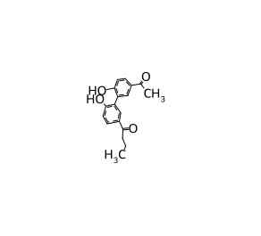 CCCC(=O)c1ccc(O)c(-c2cc(C(C)=O)ccc2O)c1